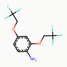 Nc1ccc(OCC(F)(F)F)cc1OCC(F)(F)F